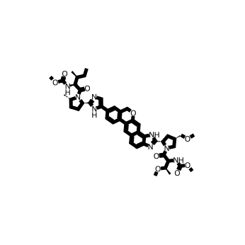 CC[C@H](C)[C@H](NC(=O)OC)C(=O)N1[C@@H](C)CC[C@H]1c1ncc(-c2ccc3c(c2)COc2cc4c(ccc5nc([C@@H]6C[C@H](COC)CN6C(=O)C(NC(=O)OC)[C@@H](C)OC)[nH]c54)cc2-3)[nH]1